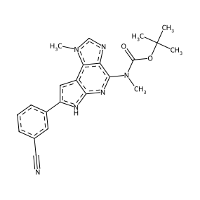 CN(C(=O)OC(C)(C)C)c1nc2[nH]c(-c3cccc(C#N)c3)cc2c2c1ncn2C